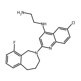 NCCNc1cc(N2CCCc3cccc(F)c3C2)nc2ccc(Cl)cc12